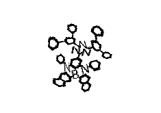 c1ccc(-c2cc(-c3ccccc3)cc(-c3nc(-c4cc(-c5ccccc5)cc(-c5ccccc5)c4)nc(-c4cc5c6c(c4)N(c4ccccc4)c4cc7ccccc7cc4B6c4cc6ccccc6cc4N5c4ccccc4)n3)c2)cc1